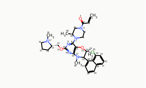 C=CC(=O)N1CCN(c2nc(OC[C@@H]3CCCN3C)nc3c2O[C@@H](C)C(c2cccc4cccc(Cl)c24)N3C)[C@@H](C)C1